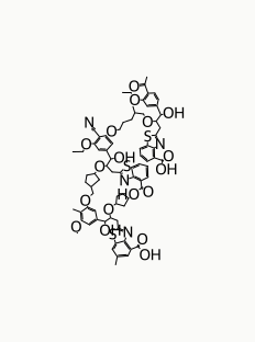 CCOc1cc(C(O)C(Cc2nc3c(C(=O)O)cccc3s2)OCC(C)CCCOc2cc(C(O)C(Cc3nc4c(C(=O)O)cccc4s3)OC3CCC(COc4cc(C(O)C(Cc5nc6c(C(=O)O)cc(C)cc6s5)OC5CCCC5)cc(OC)c4C)C3)cc(OCC)c2C#N)ccc1C(C)=O